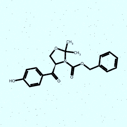 CC1(C)OC[C@H](C(=O)c2ccc(O)cc2)N1C(=O)OCc1ccccc1